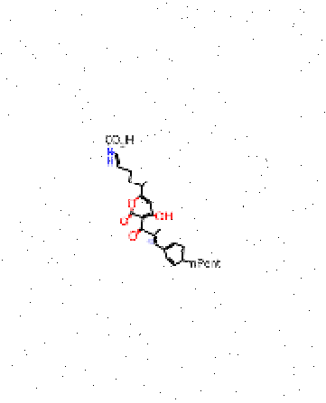 CCCCCc1ccc(/C=C(\C)C(=O)c2c(O)cc(C(C)CCC=CNC(=O)O)oc2=O)cc1